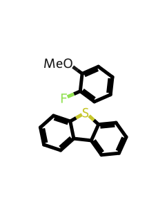 COc1ccccc1F.c1ccc2c(c1)sc1ccccc12